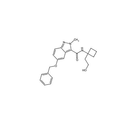 Cn1nc2ccc(OCc3ccccc3)cc2c1C(=O)NC1(CCO)CCC1